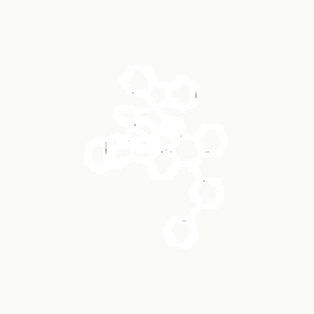 c1ccc(-c2cccc(N(c3ccc4c(c3)C3(c5ccccc5-4)c4ccccc4C4(c5ccccc5-c5ccccc54)c4ccccc43)c3ccccc3-c3cc4ccc(-c5ccccc5)cc4o3)c2)cc1